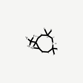 CC1(C)CCC2OC2(C(F)(F)F)CCC(C)(C)CC1